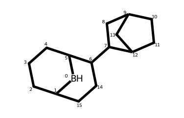 B1C2CCCC1C(C1CC3CCC1C3)CC2